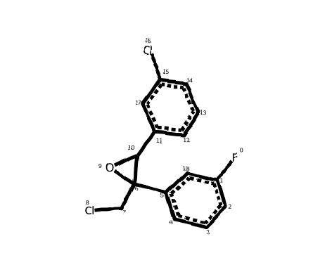 Fc1cccc(C2(CCl)OC2c2cccc(Cl)c2)c1